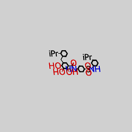 CC(C)c1cccc(NS(=O)(=O)c2ccc(NC(=O)c3cc(Cc4ccccc4C(C)C)c(O)c(O)c3O)cc2)c1